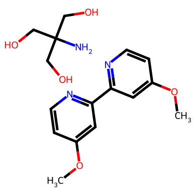 COc1ccnc(-c2cc(OC)ccn2)c1.NC(CO)(CO)CO